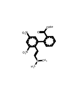 COC(=O)c1ccccc1-c1cc([N+](=O)[O-])cc([N+](=O)[O-])c1C=CN(C)C